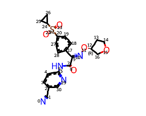 N#Cc1ccc(NC(=O)/C(=N/O[C@@H]2CCOC2)c2ccc(S(=O)(=O)C3CC3)cc2)nc1